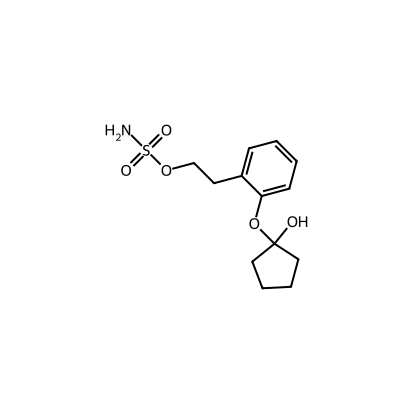 NS(=O)(=O)OCCc1ccccc1OC1(O)CCCC1